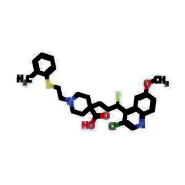 COc1ccc2ncc(Cl)c([C@H](F)CCC3(C(=O)O)CCN(CCSc4ccccc4C)CC3)c2c1